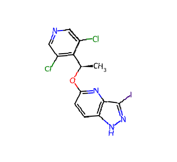 C[C@@H](Oc1ccc2[nH]nc(I)c2n1)c1c(Cl)cncc1Cl